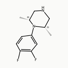 C[C@@H]1CNC[C@H](C)N1c1ccc(F)c(F)c1